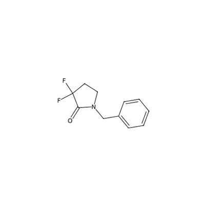 O=C1N(Cc2ccccc2)CCC1(F)F